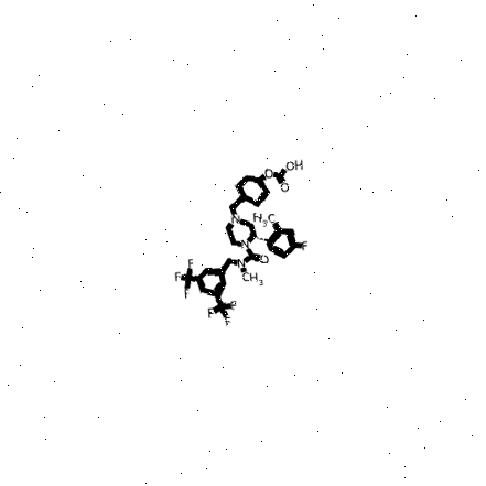 Cc1cc(F)ccc1[C@H]1CN(CC2CCC(OC(=O)O)CC2)CCN1C(=O)N(C)Cc1cc(C(F)(F)F)cc(C(F)(F)F)c1